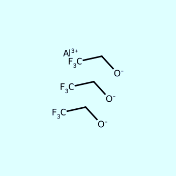 [Al+3].[O-]CC(F)(F)F.[O-]CC(F)(F)F.[O-]CC(F)(F)F